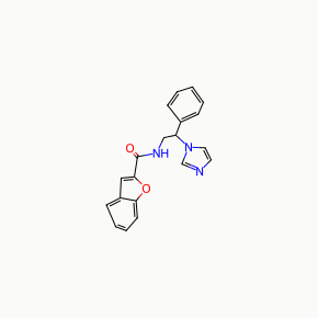 O=C(NCC(c1ccccc1)n1ccnc1)c1cc2ccccc2o1